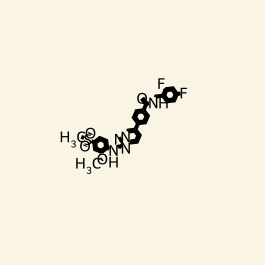 COc1cc(S(C)(=O)=O)ccc1Nc1nc2ccc(-c3ccc(C(=O)NCc4ccc(F)cc4F)cc3)cn2n1